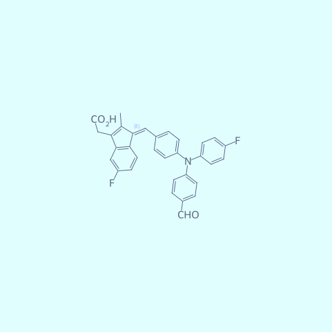 CC1=C(CC(=O)O)c2cc(F)ccc2/C1=C\c1ccc(N(c2ccc(F)cc2)c2ccc(C=O)cc2)cc1